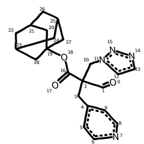 O=CC(Cc1ccncc1)(Cn1ccnn1)C(=O)OC12CC3CC(CC(C3)C1)C2